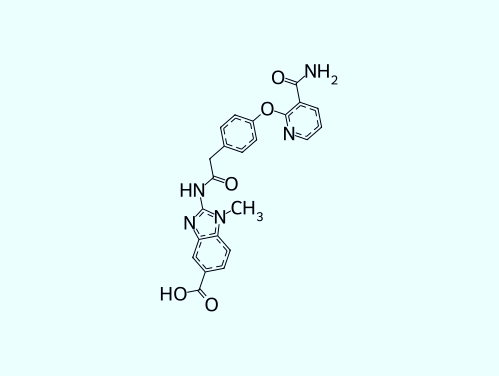 Cn1c(NC(=O)Cc2ccc(Oc3ncccc3C(N)=O)cc2)nc2cc(C(=O)O)ccc21